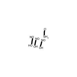 O=NO.O=NO.O=NO.[SiH3]Cl